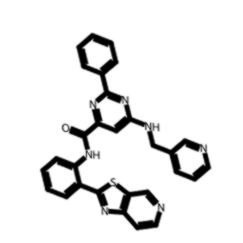 O=C(Nc1ccccc1-c1nc2ccncc2s1)c1cc(NCc2cccnc2)nc(-c2ccccc2)n1